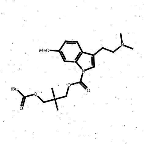 COc1ccc2c(CCN(C)C)cn(C(=O)OCC(C)(C)COC(=O)C(C)(C)C)c2c1